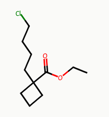 CCOC(=O)C1(CCCCCl)CCC1